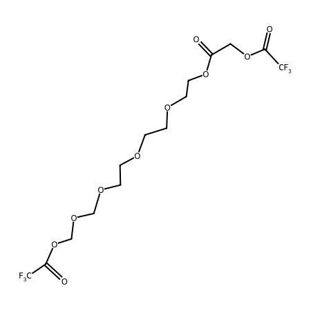 O=C(COC(=O)C(F)(F)F)OCCOCCOCCOCOCOC(=O)C(F)(F)F